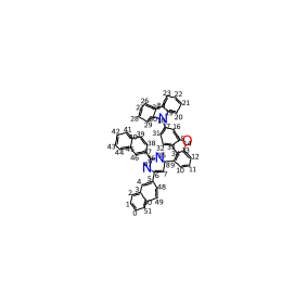 c1ccc2cc(-c3cc(-c4cccc5oc6cc(-n7c8ccccc8c8ccccc87)ccc6c45)nc(-c4ccc5ccccc5c4)n3)ccc2c1